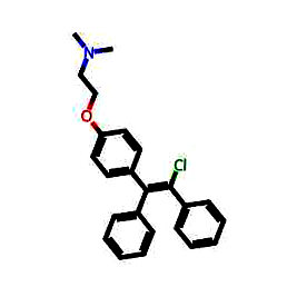 CN(C)CCOc1ccc(C(=C(Cl)c2ccccc2)c2ccccc2)cc1